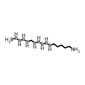 BBBBBCBBBBBCCCCCN